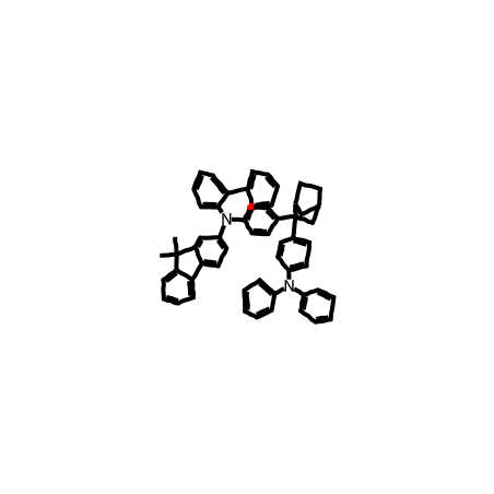 CC1(C)c2ccccc2-c2ccc(N(c3ccc(C4(c5ccc(N(c6ccccc6)c6ccccc6)cc5)CC5CCC4C5)cc3)c3ccccc3-c3ccccc3)cc21